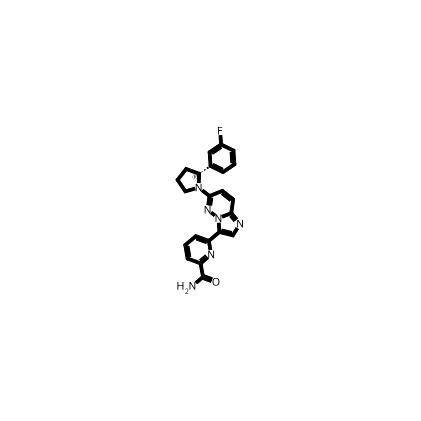 NC(=O)c1cccc(-c2cnc3ccc(N4CCC[C@@H]4c4cccc(F)c4)nn23)n1